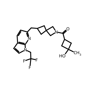 CC1(O)CC(C(=O)N2CC3(CC(Cc4ccc5ccn(CC(F)(F)F)c5n4)C3)C2)C1